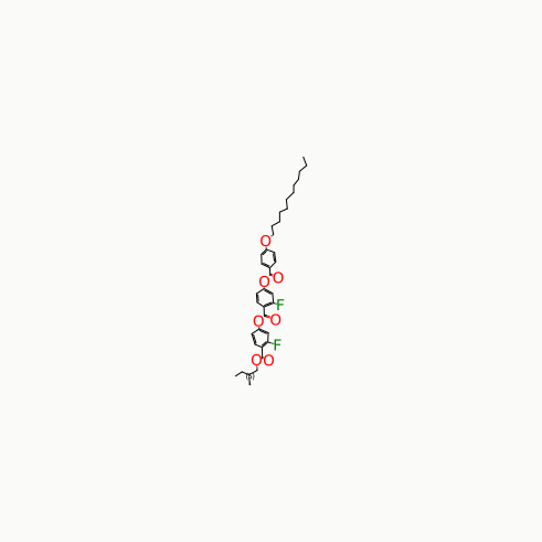 CCCCCCCCCCCCOc1ccc(C(=O)Oc2ccc(C(=O)Oc3ccc(C(=O)OC[C@@H](C)CC)c(F)c3)c(F)c2)cc1